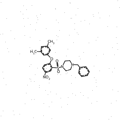 Cc1cc(C)cc(Oc2ccc([N+](=O)[O-])cc2S(=O)(=O)N2CCN(Cc3ccccc3)CC2)c1